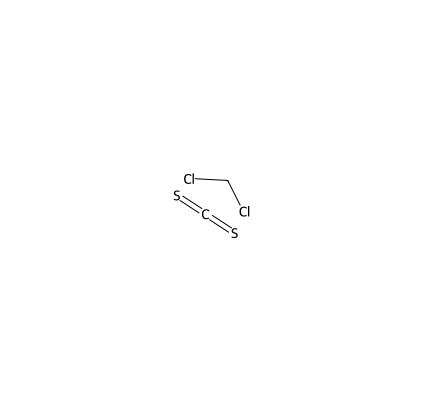 ClCCl.S=C=S